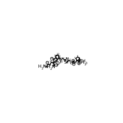 CC1(C)C2CCC1(CS(=O)(=O)OCc1csc(CN(I)c3cccc4c3C(=O)N(C(CCC(=O)CN)C(N)=O)C4=O)n1)C(=O)C2